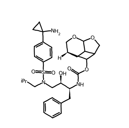 CC(C)CN(C[C@@H](O)[C@H](Cc1ccccc1)NC(=O)OC1C2COC3OC[C@H]1CC32)S(=O)(=O)c1ccc(C2(N)CC2)cc1